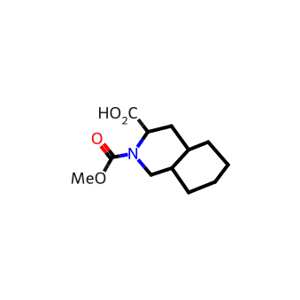 COC(=O)N1CC2CCCCC2CC1C(=O)O